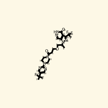 CC(COCCC(=O)N1CCN(c2ncc(C(C)(F)F)cn2)CC1)n1nc(C(F)(F)F)c2c(=O)[nH]ncc21